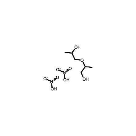 CC(O)COC(C)CO.O=[N+]([O-])O.O=[N+]([O-])O